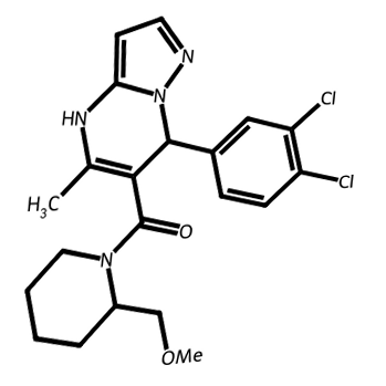 COCC1CCCCN1C(=O)C1=C(C)Nc2ccnn2C1c1ccc(Cl)c(Cl)c1